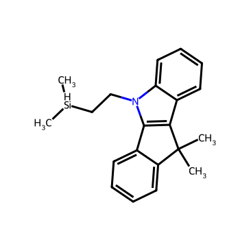 C[SiH](C)CCn1c2c(c3ccccc31)C(C)(C)c1ccccc1-2